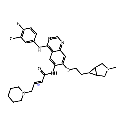 CN1CC2C(CCOc3cc4ncnc(Nc5ccc(F)c(Cl)c5)c4cc3NC(=O)/C=C/CN3CCCCC3)C2C1